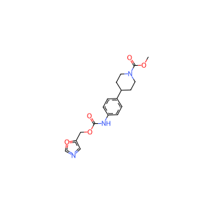 COC(=O)N1CCC(c2ccc(NC(=O)OCc3cnco3)cc2)CC1